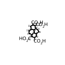 O=C(O)c1cc2ccc3c(C(=O)O)c(C(=O)O)cc4ccc(c1C(=O)O)c2c43